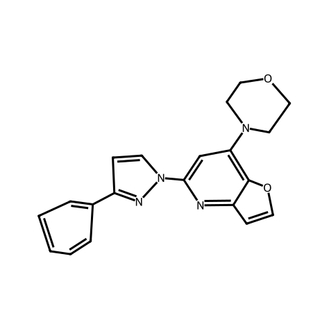 c1ccc(-c2ccn(-c3cc(N4CCOCC4)c4occc4n3)n2)cc1